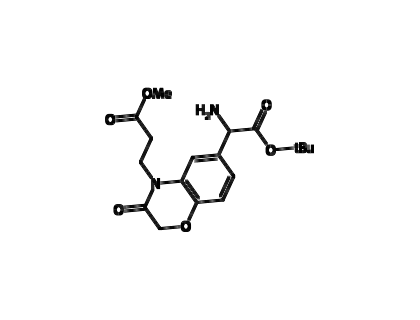 COC(=O)CCN1C(=O)COc2ccc(C(N)C(=O)OC(C)(C)C)cc21